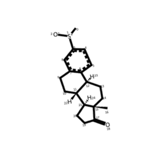 C[S+]([O-])c1ccc2c(c1)CC[C@@H]1[C@@H]2CC[C@]2(C)C(=O)CC[C@@H]12